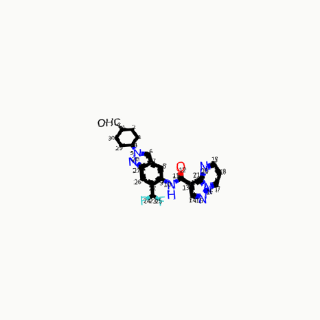 O=CC1CCC(n2cc3cc(NC(=O)c4cnn5cccnc45)c(C(F)F)cc3n2)CC1